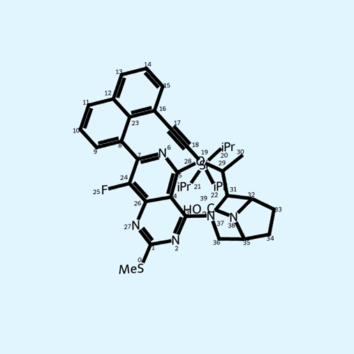 CSc1nc2c3c(nc(-c4cccc5cccc(C#C[Si](C(C)C)(C(C)C)C(C)C)c45)c(F)c3n1)OC(C)C1C3CCC(CN21)N3C(=O)O